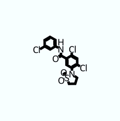 O=C(Nc1cccc(Cl)c1)c1cc(N2CCCS2(=O)=O)c(Cl)cc1Cl